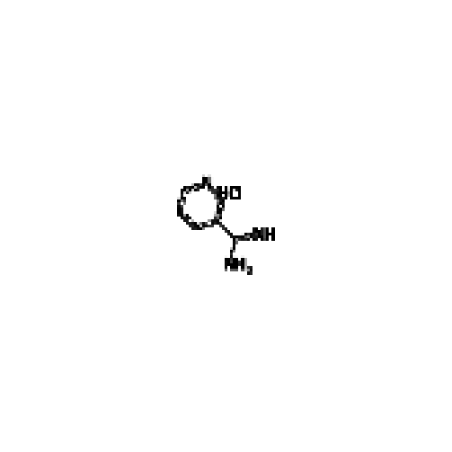 Cl.N=C(N)c1cccnc1